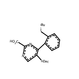 CCCCCCCCCCc1cnc(C(=O)O)nc1-c1ccccc1C[C@@H](C)CC